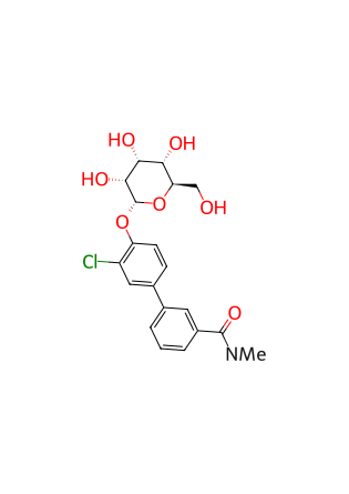 CNC(=O)c1cccc(-c2ccc(O[C@H]3O[C@H](CO)[C@@H](O)[C@@H](O)[C@H]3O)c(Cl)c2)c1